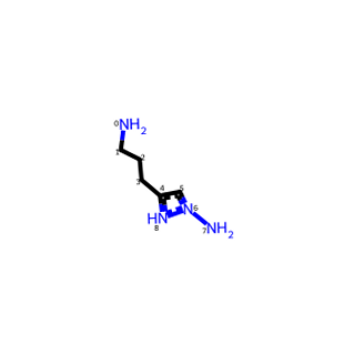 NCCCc1cn(N)[nH]1